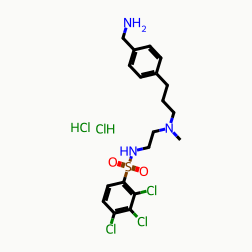 CN(CCCc1ccc(CN)cc1)CCNS(=O)(=O)c1ccc(Cl)c(Cl)c1Cl.Cl.Cl